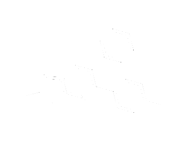 O=C(O)c1cc2nc(-c3ccc(Cl)cc3)c(-c3ccccc3)cn2n1